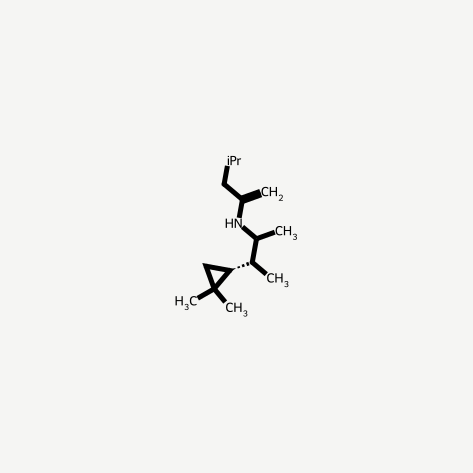 C=C(CC(C)C)NC(C)C(C)[C@H]1CC1(C)C